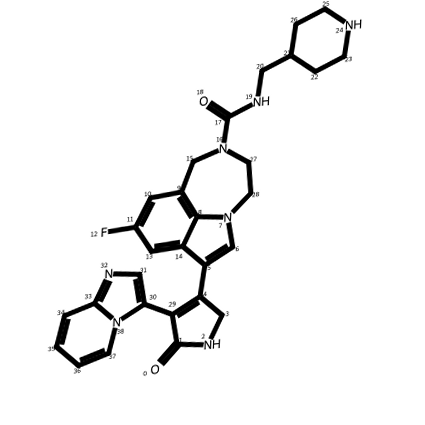 O=C1NCC(c2cn3c4c(cc(F)cc24)CN(C(=O)NCC2CCNCC2)CC3)=C1c1cnc2ccccn12